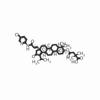 CC(C)C1=C2[C@H]3CC[C@@H]4[C@@]5(C)CC[C@H](OC(=O)CC(C)(C)C(=O)O)C(C)(C)[C@@H]5CC[C@@]4(C)[C@]3(C)CC[C@@]2(/C=C/C(=O)Nc2ccc(Cl)cn2)CC1=O